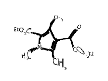 CCOC(=O)C(=O)c1c(C)c(C(=O)OCC)n(C)c1C